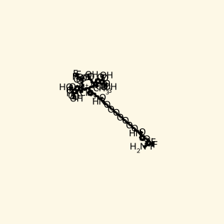 CC1(C)C(/C=C/C(=C/C=C2\N(CCCS(=O)(=O)O)c3ccc4c(S(=O)(=O)O)cc(S(=O)(=O)O)cc4c3C2(C)C)c2cccc(CCCCC(=O)NCCOCCOCCOCCOCCOCCOCCOCCNC(=O)c3cccc(Oc4cc(CN)cc(C(F)(F)F)n4)c3)c2)=[N+](CCCS(=O)(=O)OC(=O)C(F)(F)F)c2ccc3c(S(=O)(=O)O)cc(S(=O)(=O)O)cc3c21